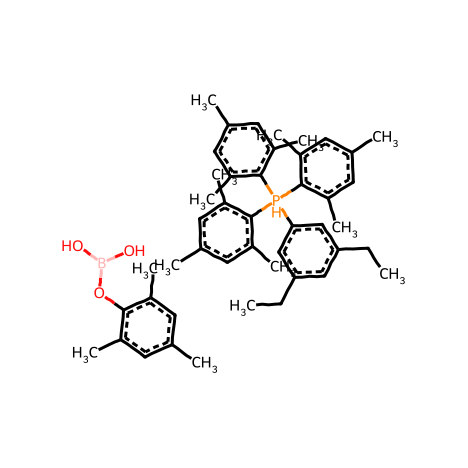 CCc1cc(CC)cc([PH](c2c(C)cc(C)cc2C)(c2c(C)cc(C)cc2C)c2c(C)cc(C)cc2C)c1.Cc1cc(C)c(OB(O)O)c(C)c1